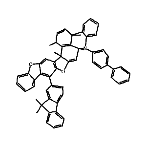 CC1C=CC2(C)C3=C1C1(C)C(=CC3(C)N(c3ccc(-c4ccccc4)cc3)c3ccccc32)Oc2c1cc1oc3ccccc3c1c2-c1ccc2c(c1)C(C)(C)c1ccccc1-2